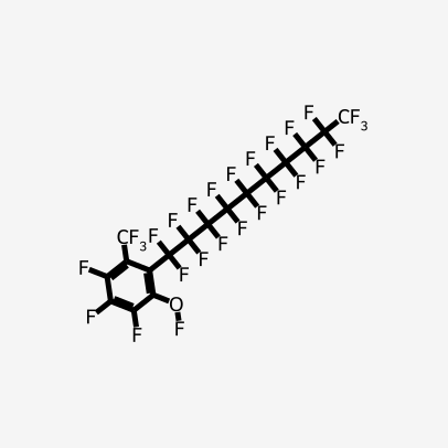 FOc1c(F)c(F)c(F)c(C(F)(F)F)c1C(F)(F)C(F)(F)C(F)(F)C(F)(F)C(F)(F)C(F)(F)C(F)(F)C(F)(F)C(F)(F)C(F)(F)F